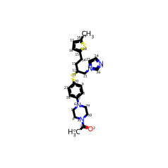 CC(=O)N1CCN(c2ccc(SC(CCc3ccc(C)s3)Cn3ccnc3)cc2)CC1